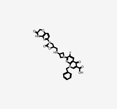 O=C1COc2ccc(N3CC(CNC4CN(c5nc6c(cc5F)c(=O)c(C(=O)O)cn6Cc5ccccc5)C4)OC3=O)nc2N1